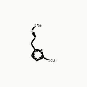 CON=CCc1ccc(S(=O)(=O)O)s1